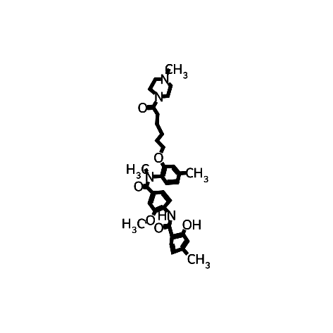 COc1cc(C(=O)N(C)c2ccc(C)cc2OCCCCCC(=O)N2CCN(C)CC2)ccc1NC(=O)c1ccc(C)cc1O